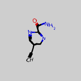 C#CC1C=NC(C(N)=O)=NC1